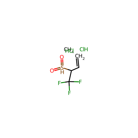 C.C=CC([SH](=O)=O)C(F)(F)F.Cl.Cl